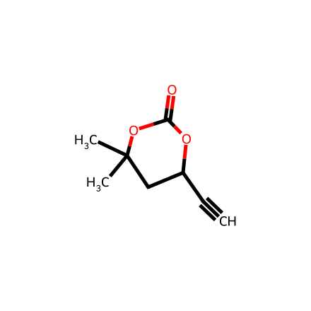 C#CC1CC(C)(C)OC(=O)O1